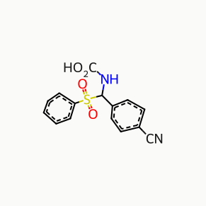 N#Cc1ccc(C(NC(=O)O)S(=O)(=O)c2ccccc2)cc1